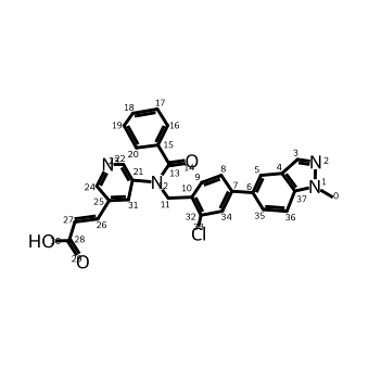 Cn1ncc2cc(-c3ccc(CN(C(=O)c4ccccc4)c4cncc(C=CC(=O)O)c4)c(Cl)c3)ccc21